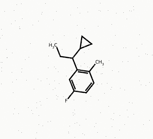 CCC(c1cc(F)ccc1C)C1CC1